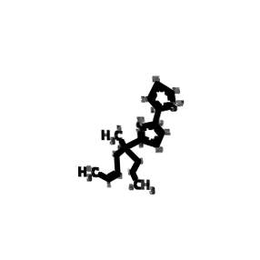 C/C=C\CC(C)(CCC)c1ccc(-c2cccs2)s1